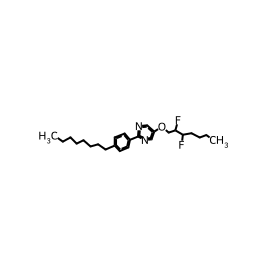 CCCCCCCCc1ccc(-c2ncc(OCC(F)C(F)CCCC)cn2)cc1